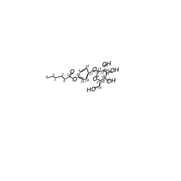 CCCCCC(=O)Oc1ccc(O[C@@H]2O[C@H](CO)[C@@H](O)[C@H](O)[C@H]2O)cc1